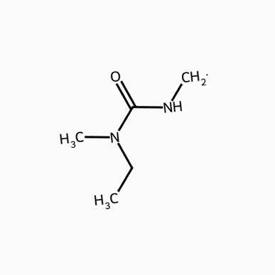 [CH2]NC(=O)N(C)CC